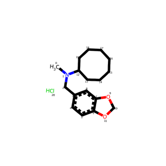 CN(Cc1ccc2c(c1)OCO2)C1CCCCCCC1.Cl